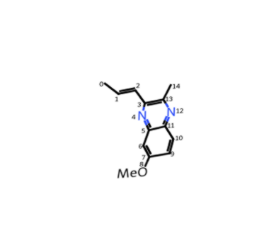 C/C=C/c1nc2cc(OC)ccc2nc1C